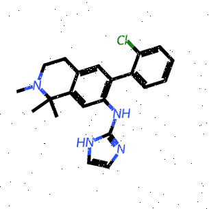 CN1CCc2cc(-c3ccccc3Cl)c(Nc3ncc[nH]3)cc2C1(C)C